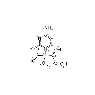 Nc1ccn([C@@]2(CO)OC[C@@H](O)[C@@H]2O)c(=O)n1